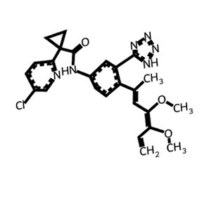 C=C/C(OC)=C(\C=C(/C)c1ccc(NC(=O)C2(c3ccc(Cl)cn3)CC2)cc1-c1nnn[nH]1)OC